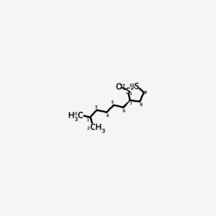 CC(C)CCCC[C@@H]1CCS[S+]1[O-]